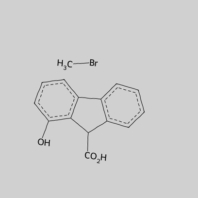 CBr.O=C(O)C1c2ccccc2-c2cccc(O)c21